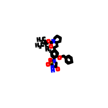 CC(C)(C)OC(=O)N1CCCCC1CCc1ccc(N2CC(=O)NS2(=O)=O)c(OCc2ccccc2)c1